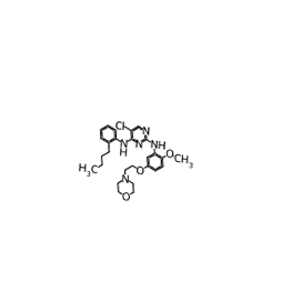 CCCCc1ccccc1Nc1nc(Nc2cc(OCCN3CCOCC3)ccc2OC)ncc1Cl